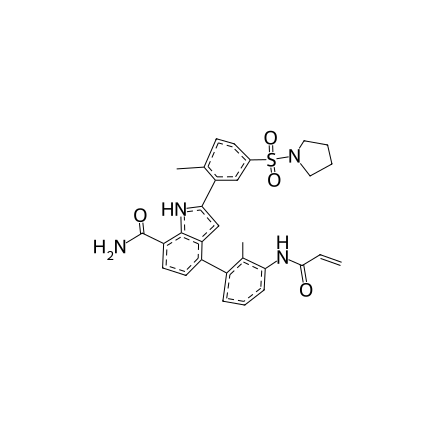 C=CC(=O)Nc1cccc(-c2ccc(C(N)=O)c3[nH]c(-c4cc(S(=O)(=O)N5CCCC5)ccc4C)cc23)c1C